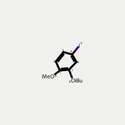 COc1ccc(I)cc1OCC(C)C